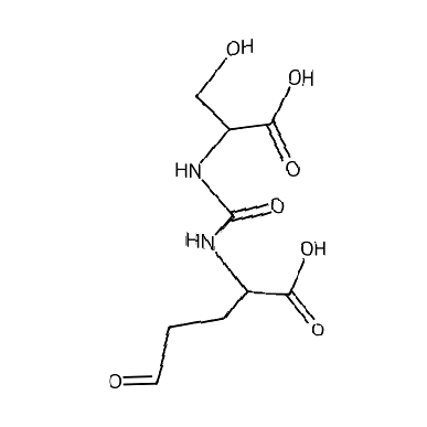 O=CCCC(NC(=O)NC(CO)C(=O)O)C(=O)O